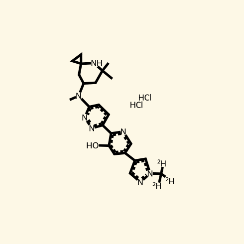 Cl.Cl.[2H]C([2H])([2H])n1cc(-c2cnc(-c3ccc(N(C)C4CC(C)(C)NC5(CC5)C4)nn3)c(O)c2)cn1